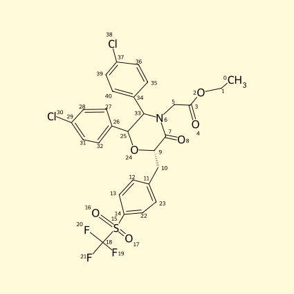 CCOC(=O)CN1C(=O)[C@H](Cc2ccc(S(=O)(=O)C(F)(F)F)cc2)OC(c2ccc(Cl)cc2)C1c1ccc(Cl)cc1